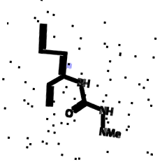 C=C/C=C(/BC(=O)NNC)C=C